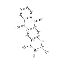 O=C1c2ccccc2C(=O)c2cc3c(cc21)CC(O)C(=O)C3O